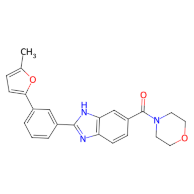 Cc1ccc(-c2cccc(-c3nc4ccc(C(=O)N5CCOCC5)cc4[nH]3)c2)o1